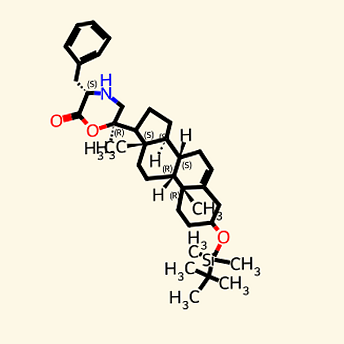 CC(C)(C)[Si](C)(C)OC1CC[C@@]2(C)C(=CC[C@@H]3[C@H]2CC[C@]2(C)C([C@]4(C)CN[C@@H](Cc5ccccc5)C(=O)O4)CC[C@@H]32)C1